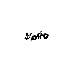 CCC(Oc1ccc(-c2csc(-c3ccccc3)n2)cc1)N(CC)CC